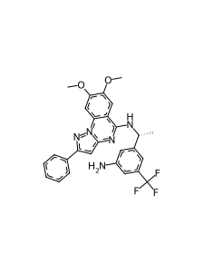 COc1cc2c(N[C@H](C)c3cc(N)cc(C(F)(F)F)c3)nc3cc(-c4ccccc4)nn3c2cc1OC